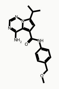 COCc1ccc(NC(=O)c2cc(C(C)C)n3ncnc(N)c23)cc1